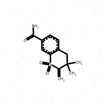 C=C1C(C)(C)Cc2ccc(C(N)=O)cc2S1(=O)=O